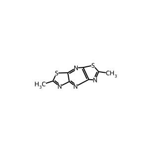 Cc1nc2nc3nc(C)sc3nc2s1